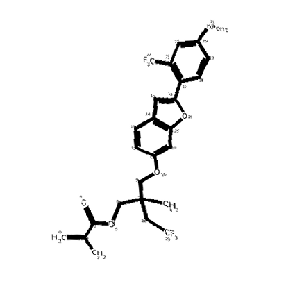 C=C(C)C(=O)OCC(C)(COc1ccc2cc(-c3ccc(CCCCC)cc3C(F)(F)F)oc2c1)CC(F)(F)F